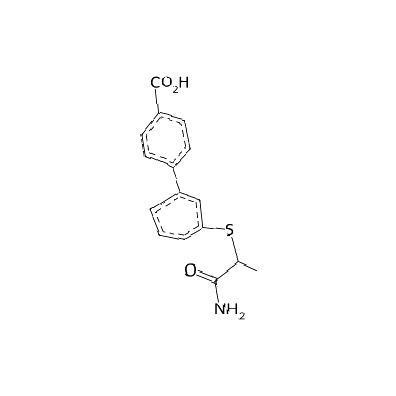 CC(Sc1cccc(-c2ccc(C(=O)O)cc2)c1)C(N)=O